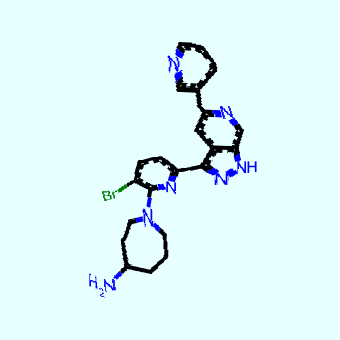 NC1CCCN(c2nc(-c3n[nH]c4cnc(-c5cccnc5)cc34)ccc2Br)CC1